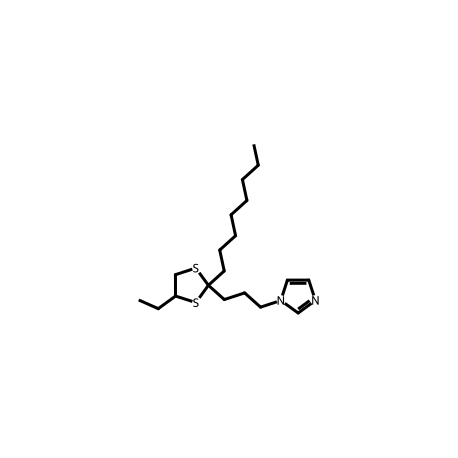 CCCCCCCCC1(CCCn2ccnc2)SCC(CC)S1